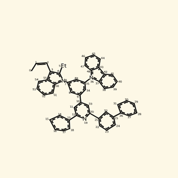 C/C=C\c1c(CC)n(-c2cc(-c3cc(-c4ccccc4)nc(-c4cccc(-c5ccccc5)c4)c3)cc(-n3c4ccccc4c4ccccc43)c2)c2ccccc12